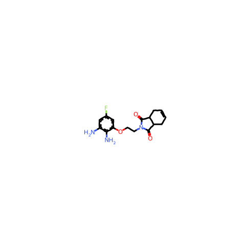 Nc1cc(F)cc(OCCN2C(=O)C3CC=CCC3C2=O)c1N